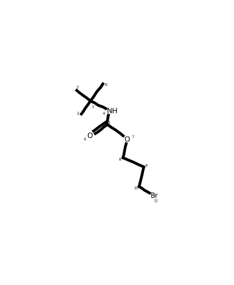 CC(C)(C)NC(=O)OCCCBr